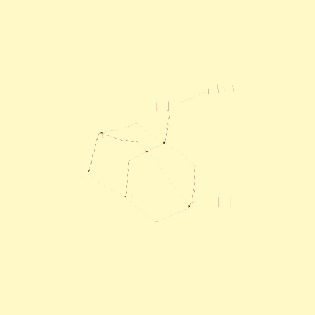 CCCCPC12CC3CC(CC(C3)C1)C2.I